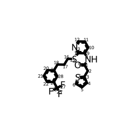 O=C(Cc1cccs1)Nc1cccnc1SCCCc1cccc(C(F)(F)F)c1